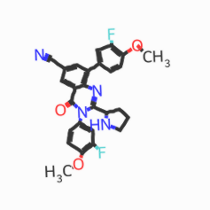 COc1ccc(-c2cc(C#N)cc3c(=O)n(-c4ccc(OC)c(F)c4)c(C4CCCN4)nc23)cc1F